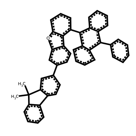 CC1(C)c2ccccc2-c2ccc(-c3ccc4c(c3)oc3cccc(-c5c6ccccc6c(-c6ccccc6)c6ccccc56)c34)cc21